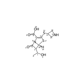 CC(O)C1C(=O)N2C(C(=O)O)=C(SC3CNC3)S[C@H]12